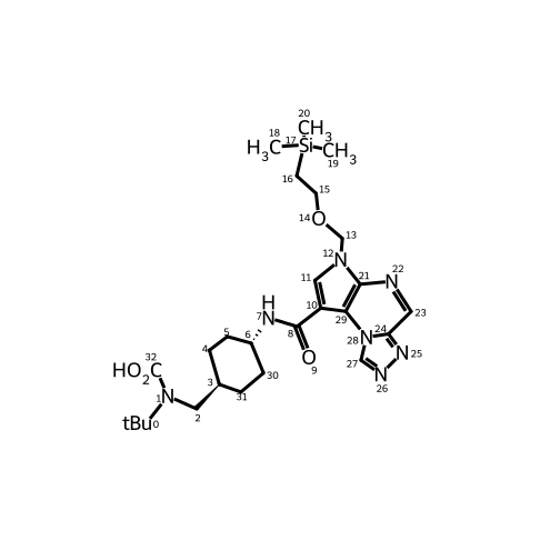 CC(C)(C)N(C[C@H]1CC[C@H](NC(=O)c2cn(COCC[Si](C)(C)C)c3ncc4nncn4c23)CC1)C(=O)O